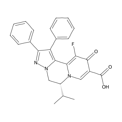 CC(C)[C@@H]1Cn2nc(-c3ccccc3)c(-c3ccccc3)c2-c2c(F)c(=O)c(C(=O)O)cn21